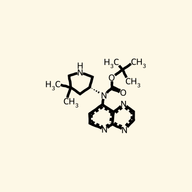 CC1(C)CNC[C@H](N(C(=O)OC(C)(C)C)c2ccnc3nccnc23)C1